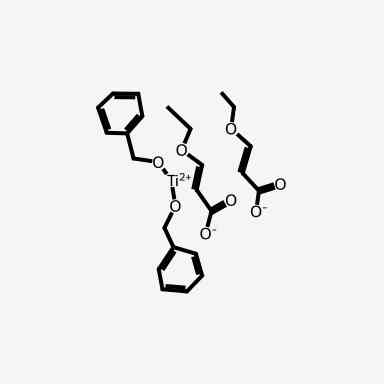 CCOC=CC(=O)[O-].CCOC=CC(=O)[O-].c1ccc(C[O][Ti+2][O]Cc2ccccc2)cc1